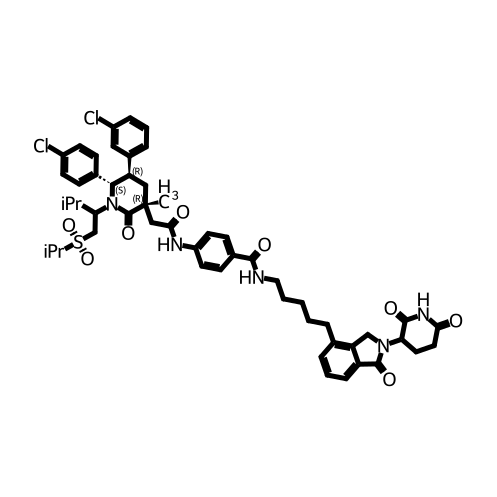 CC(C)C(CS(=O)(=O)C(C)C)N1C(=O)[C@@](C)(CC(=O)Nc2ccc(C(=O)NCCCCCc3cccc4c3CN(C3CCC(=O)NC3=O)C4=O)cc2)C[C@H](c2cccc(Cl)c2)[C@H]1c1ccc(Cl)cc1